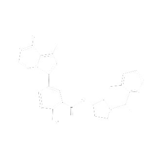 COc1ncc(-c2cc(C(F)(F)F)c3c(N)ncnn23)cc1C(=O)N[C@@H]1CN(C(C)c2ncccc2F)C[C@@H]1F